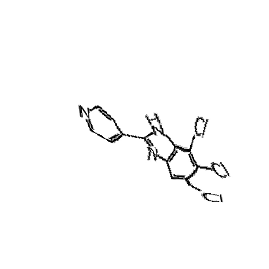 Clc1cc2nc(-c3ccncc3)[nH]c2c(Cl)c1Cl